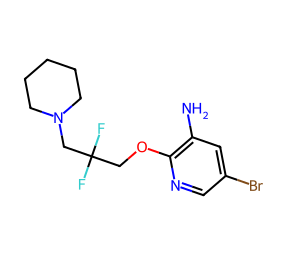 Nc1cc(Br)cnc1OCC(F)(F)CN1CCCCC1